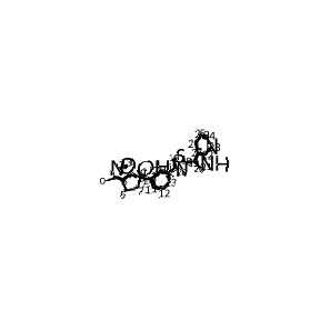 Cc1noc2c1CC[C@@]2(O)c1cccc(-c2csc(-c3c[nH]c4ncccc34)n2)c1